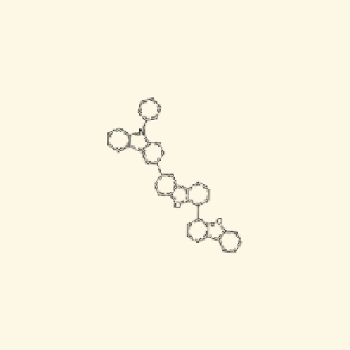 c1ccc(-n2c3ccccc3c3cc(-c4ccc5oc6c(-c7cccc8c7oc7ccccc78)cccc6c5c4)ccc32)cc1